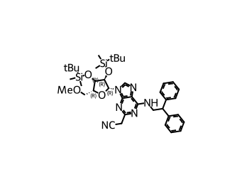 COC[C@H]1O[C@@H](n2cnc3c(NCC(c4ccccc4)c4ccccc4)nc(CC#N)nc32)[C@H](O[Si](C)(C)C(C)(C)C)[C@@H]1O[Si](C)(C)C(C)(C)C